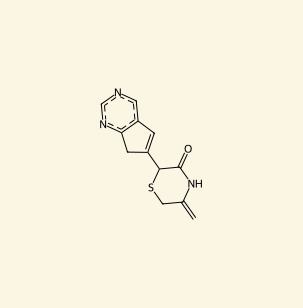 C=C1CSC(C2=Cc3cncnc3C2)C(=O)N1